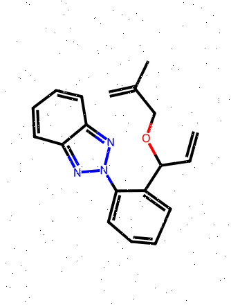 C=CC(OCC(=C)C)c1ccccc1-n1nc2ccccc2n1